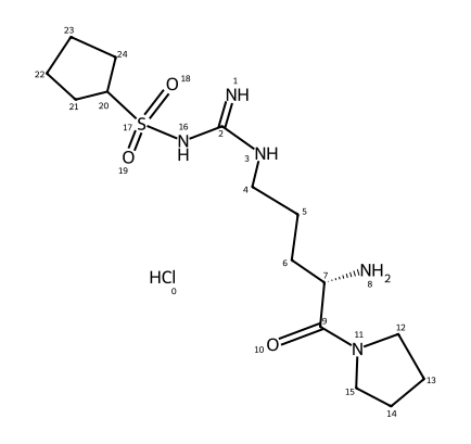 Cl.N=C(NCCC[C@H](N)C(=O)N1CCCC1)NS(=O)(=O)C1CCCC1